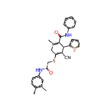 CC1=C(C(=O)Nc2ccccc2)C(c2cccs2)C(C#N)=C(SCC(=O)Nc2ccc(C)c(C)c2)C1